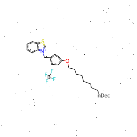 CCCCCCCCCCCCCCCCCCOc1ccc(C[n+]2csc3ccccc32)cc1.F[B-](F)(F)F